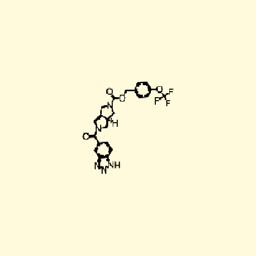 O=C(c1ccc2[nH]nnc2c1)N1C=C2CN(C(=O)OCc3ccc(OC(F)(F)F)cc3)C[C@H]2C1